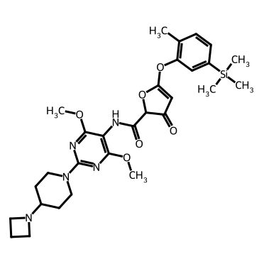 COc1nc(N2CCC(N3CCC3)CC2)nc(OC)c1NC(=O)C1OC(Oc2cc([Si](C)(C)C)ccc2C)=CC1=O